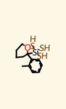 Cc1ccccc1C1([Si](S)(S)S)CCCCO1